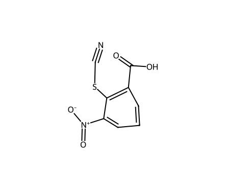 N#CSc1c(C(=O)O)cccc1[N+](=O)[O-]